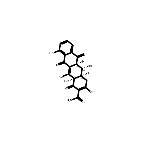 C=C1c2cccc(O)c2C(=O)C2=C(O)[C@]3(O)C(=O)C(C(N)=O)=C(O)C[C@@H]3[C@@H](O)[C@H]12